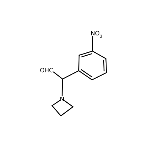 O=CC(c1cccc([N+](=O)[O-])c1)N1CCC1